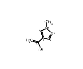 C=C(Br)c1cnn(C)c1